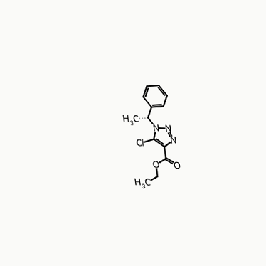 CCOC(=O)c1nnn([C@H](C)c2ccccc2)c1Cl